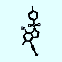 Cc1ccc(S(=O)(=O)n2ccc3c(C#CBr)c(C)cc(Br)c32)cc1